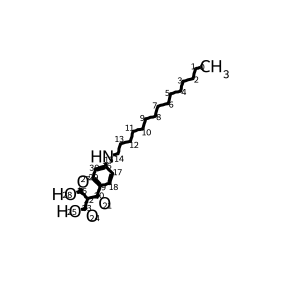 CCCCCCCCCCCCCCCNc1ccc(C(=O)C(C(=O)O)C(=O)O)cc1